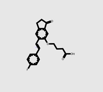 O=C(O)CCCOc1cc2c(cc1/C=C/c1ccc(F)cc1)CCC2=O